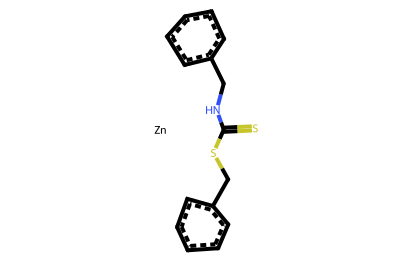 S=C(NCc1ccccc1)SCc1ccccc1.[Zn]